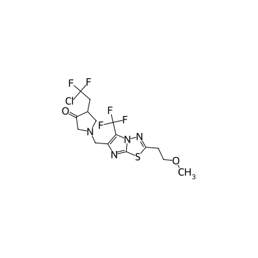 COCCc1nn2c(C(F)(F)F)c(CN3CC(=O)C(CC(F)(F)Cl)C3)nc2s1